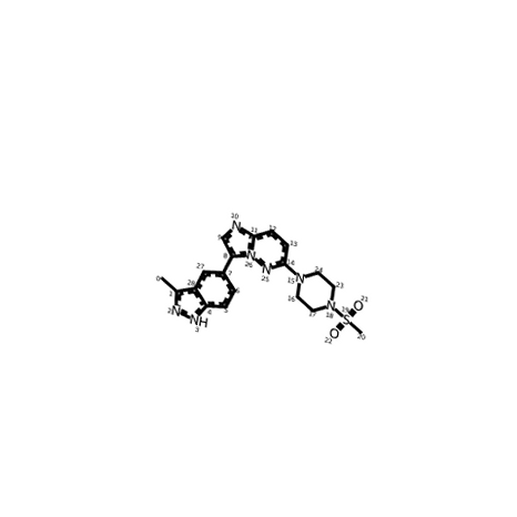 Cc1n[nH]c2ccc(-c3cnc4ccc(N5CCN(S(C)(=O)=O)CC5)nn34)cc12